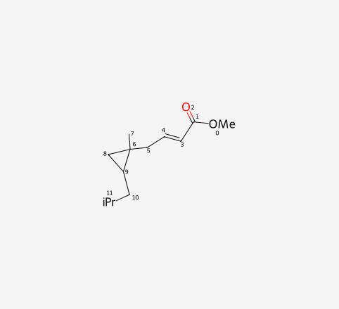 COC(=O)C=CCC1(C)CC1CC(C)C